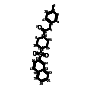 Cc1ccc(CC(=O)N2CCN(S(=O)(=O)c3ccc4ccccc4c3)CC2)cc1